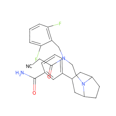 N#CCC(=O)N(CCN1C2CCC1CC(c1cccc(C(N)=O)c1)C2)Cc1c(F)cccc1F